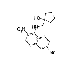 O=[N+]([O-])c1cnc2cc(Br)cnc2c1NCC1(O)CCCC1